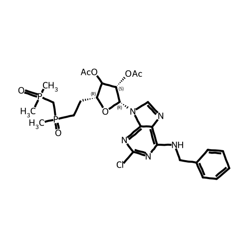 CC(=O)OC1[C@@H](CCP(C)(=O)CP(C)(C)=O)O[C@@H](n2cnc3c(NCc4ccccc4)nc(Cl)nc32)[C@H]1OC(C)=O